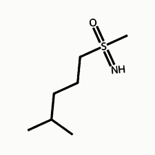 CC(C)CCCS(C)(=N)=O